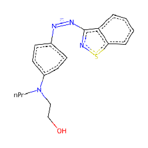 CCCN(CCO)c1ccc(/N=N\c2nsc3ccccc23)cc1